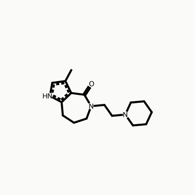 Cc1c[nH]c2c1C(=O)N(CCN1CCCCC1)CCC2